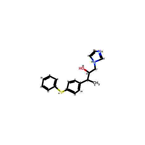 CC(c1ccc(Sc2ccccc2)cc1)C(O)Cn1ccnc1